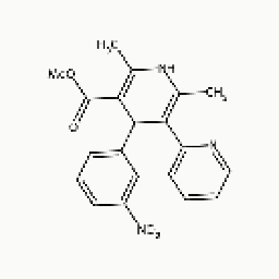 COC(=O)C1=C(C)NC(C)=C(c2ccccn2)C1c1cccc([N+](=O)[O-])c1